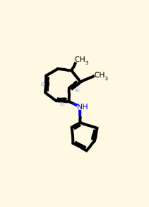 C\C1=C/C(Nc2ccccc2)=C\C=C/CC1C